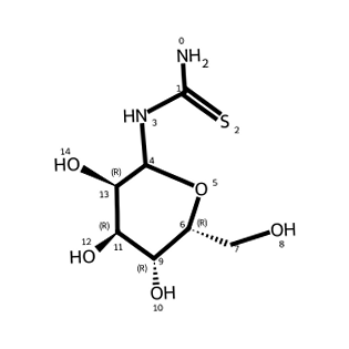 NC(=S)NC1O[C@H](CO)[C@H](O)[C@@H](O)[C@H]1O